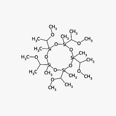 COC(C)[Si]1(C)O[Si](C)(C(C)OC)O[Si](C)(C(C)OC)O[Si](C)(C(C)OC)O[Si](C)(C(C)OC)O1